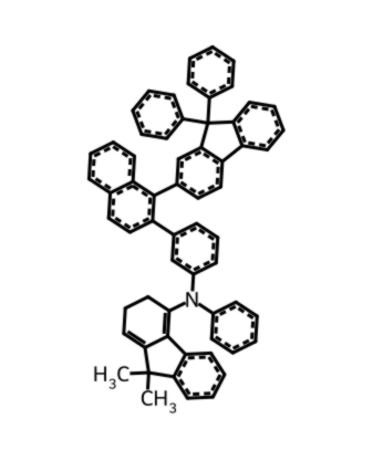 CC1(C)C2=CCCC(N(c3ccccc3)c3cccc(-c4ccc5ccccc5c4-c4ccc5c(c4)C(c4ccccc4)(c4ccccc4)c4ccccc4-5)c3)=C2c2ccccc21